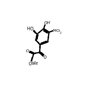 COC(=O)C(=O)c1cc(O)c(O)c([N+](=O)[O-])c1